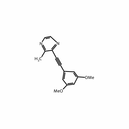 COc1cc(C#Cc2nccnc2C)cc(OC)c1